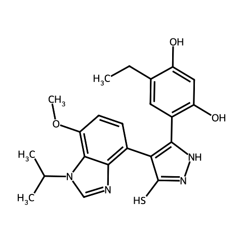 CCc1cc(-c2[nH]nc(S)c2-c2ccc(OC)c3c2ncn3C(C)C)c(O)cc1O